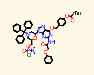 CN(C)P(=O)(Cl)OCC1CN(C(c2ccccc2)(c2ccccc2)c2ccccc2)CC(n2cnc3c(OCc4ccc(OC(=O)C(C)(C)C)cc4)nc(NC(=O)COc4ccccc4)nc32)O1